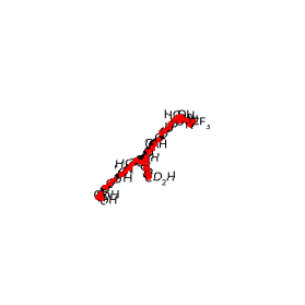 O=C(O)COCCOCC(=O)NC(COCCC(=O)NCCOCCOCCOCCOC[C@H]1OC[C@H](Nc2cncc(C(F)(F)F)n2)[C@@H](O)[C@H]1O)COCCC(O)NCCOCCOCCOCCOC[C@H]1OCC[C@@H](O)[C@H]1O